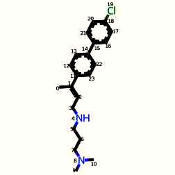 CC(=CCNCCCN(C)C)c1ccc(-c2ccc(Cl)cc2)cc1